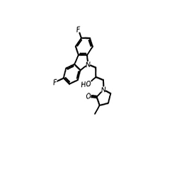 CC1CCN(CC(O)Cn2c3ccc(F)cc3c3cc(F)ccc32)C1=O